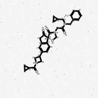 C[C@@H](C1CC1)N(Cc1ccccc1)C(=O)CN1CO[C@]2(C(=O)Cc3cc(C4CN(C(=O)C5CC5)C4)ccc32)C1=O